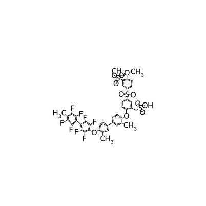 COc1ccc(S(=O)(=O)c2ccc(Oc3ccc(-c4ccc(Oc5c(F)c(F)c(-c6c(F)c(F)c(C)c(F)c6F)c(F)c5F)c(C)c4)cc3C)c(CS(=O)(=O)O)c2)cc1S(=O)(=O)OC